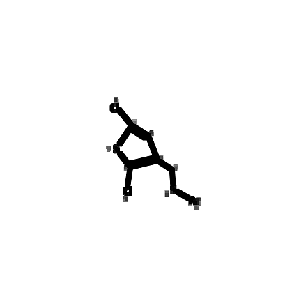 CC(=O)SCc1cc(Cl)sc1Cl